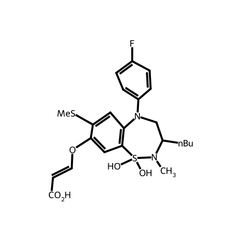 CCCCC1CN(c2ccc(F)cc2)c2cc(SC)c(O/C=C/C(=O)O)cc2S(O)(O)N1C